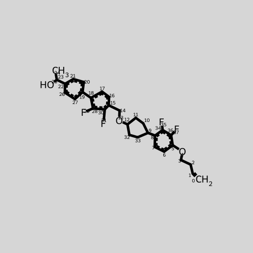 C=CCCOc1ccc(C2CCC(OCc3ccc(-c4ccc(C(C)O)cc4)c(F)c3F)CC2)c(F)c1F